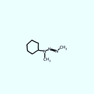 CN=NN(C)C1CCCCC1